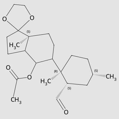 CC(=O)OC1C2CCC3(OCCO3)[C@@]2(C)CCC1[C@@]1(C)CC[C@H](C)C[C@@H]1C=O